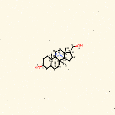 C[C@]12CC[C@H](O)CC1CC[C@@H]1[C@@H]2CC[C@]2(C)[C@@H](CO)CC[C@]12N